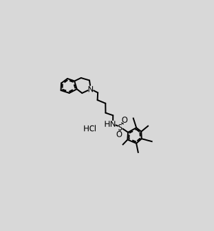 Cc1c(C)c(C)c(S(=O)(=O)NCCCCCN2CCc3ccccc3C2)c(C)c1C.Cl